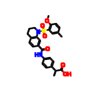 COc1ccc(C)cc1S(=O)(=O)N1CCCc2ccc(C(=O)Nc3ccc(C(C)C(=O)O)cc3)cc21